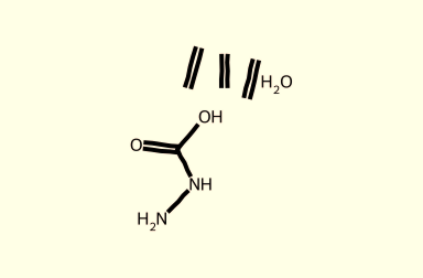 C=C.C=C.C=C.NNC(=O)O.O